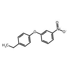 CCc1ccc(Oc2cccc([N+](=O)[O-])c2)cc1